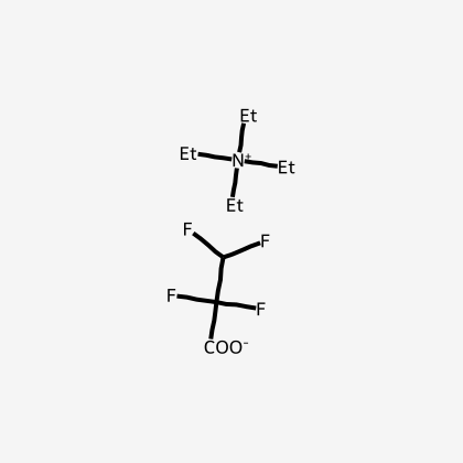 CC[N+](CC)(CC)CC.O=C([O-])C(F)(F)C(F)F